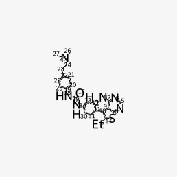 CCc1sc2ncnc(N)c2c1-c1ccc(NC(=O)Nc2ccc(CCN(C)C)cc2)cc1